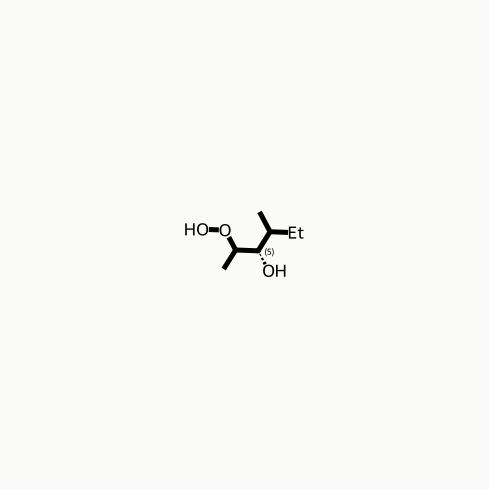 CCC(C)[C@H](O)C(C)OO